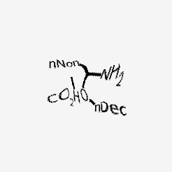 CC(=O)O.CCCCCCCCCCOC(N)CCCCCCCCC